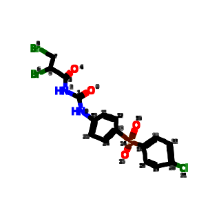 O=C(NC(=O)C(Br)CBr)Nc1ccc(S(=O)(=O)c2ccc(Cl)cc2)cc1